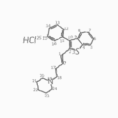 C(=C\c1sc2ccccc2c1-c1ccccc1)/CCN1CCCCC1.Cl